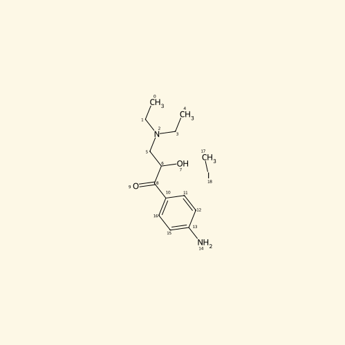 CCN(CC)CC(O)C(=O)c1ccc(N)cc1.CI